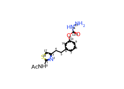 CC(=O)Nc1nc(CCc2cccc(OC(=O)NN)c2)cs1